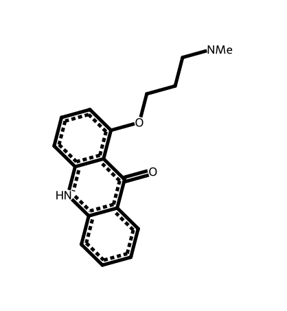 CNCCCOc1cccc2[nH]c3ccccc3c(=O)c12